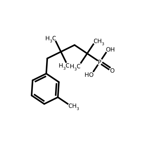 Cc1cccc(CC(C)(C)CC(C)(C)P(=O)(O)O)c1